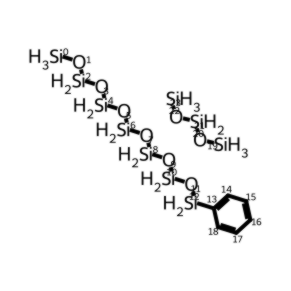 [SiH3]O[SiH2]O[SiH2]O[SiH2]O[SiH2]O[SiH2]O[SiH2]c1ccccc1.[SiH3]O[SiH2]O[SiH3]